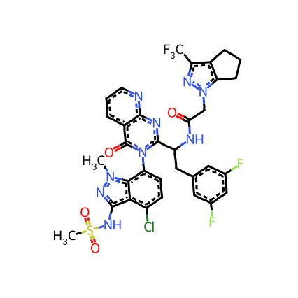 Cn1nc(NS(C)(=O)=O)c2c(Cl)ccc(-n3c(C(Cc4cc(F)cc(F)c4)NC(=O)Cn4nc(C(F)(F)F)c5c4CCC5)nc4ncccc4c3=O)c21